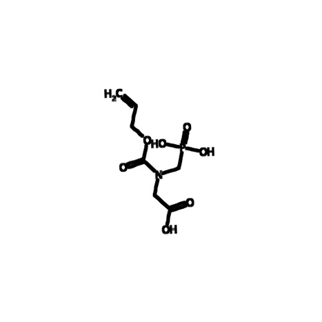 C=CCOC(=O)N(CC(=O)O)CP(=O)(O)O